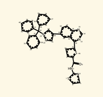 O=C(Nc1nccs1)c1ccc(-c2ncnc3ccc(-c4cnn(C(c5ccccc5)(c5ccccc5)c5ccccc5)c4)cc23)s1